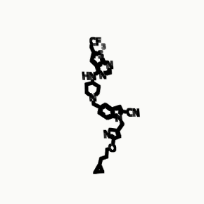 N#Cc1cc2cc(CN3CCC(Nc4ncnc5sc(CC(F)(F)F)cc45)CC3)ccc2n1CC1=CC(OCCCC2CC2)=NC1